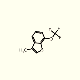 [CH2]c1csc2c(OC(F)(F)F)cccc12